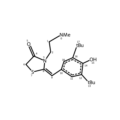 CNCCN1C(=O)CSC1=Cc1cc(C(C)(C)C)c(O)c(C(C)(C)C)c1